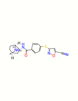 N#Cc1cc(Sc2ccc(C(=O)N[C@@H]3C[C@H]4CC[C@@H]3N4)cc2)no1